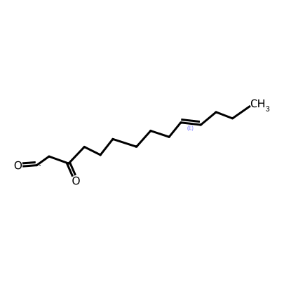 CCC/C=C/CCCCCCC(=O)C[C]=O